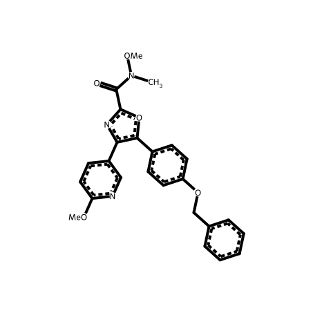 COc1ccc(-c2nc(C(=O)N(C)OC)oc2-c2ccc(OCc3ccccc3)cc2)cn1